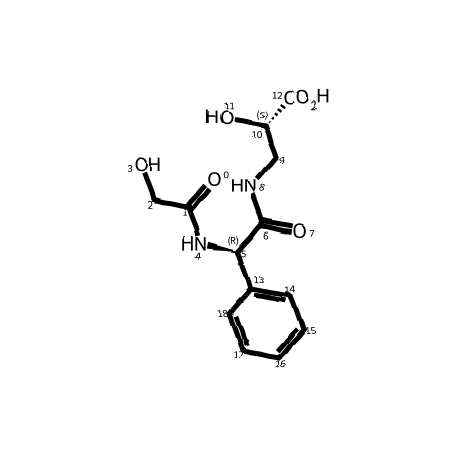 O=C(CO)N[C@@H](C(=O)NC[C@H](O)C(=O)O)c1ccccc1